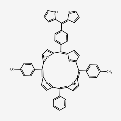 Cc1ccc(-c2c3nc(c(-c4ccc(/C(=C5\C=CC=N5)c5ccc[nH]5)cc4)c4ccc([nH]4)c(-c4ccc(C)cc4)c4nc(c(-c5ccccc5)c5ccc2[nH]5)C=C4)C=C3)cc1